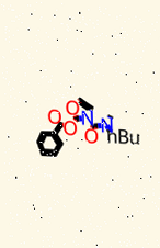 CCCCN(C)C(=O)N1C=COC1OC(=O)c1ccccc1